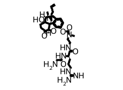 C=CC[N+]1(C)CC[C@]23c4c5ccc(OC(=O)N(C)CCNC(=O)[C@H](CCCNC(=N)N)NC(=O)CN)c4O[C@H]2C(=O)CC[C@@]3(O)[C@H]1C5